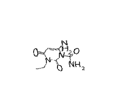 CCn1c(=O)cc(N)n(C(N)=O)c1=O